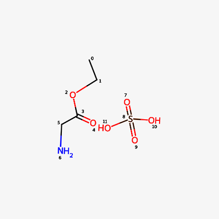 CCOC(=O)CN.O=S(=O)(O)O